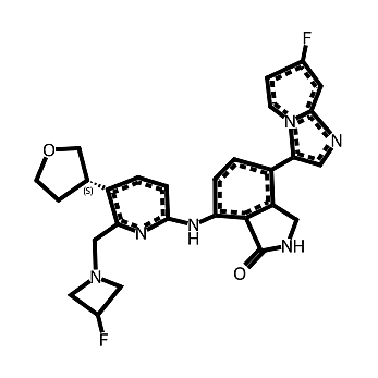 O=C1NCc2c(-c3cnc4cc(F)ccn34)ccc(Nc3ccc([C@@H]4CCOC4)c(CN4CC(F)C4)n3)c21